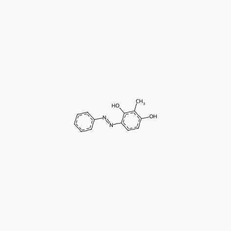 Cc1c(O)ccc(N=Nc2ccccc2)c1O